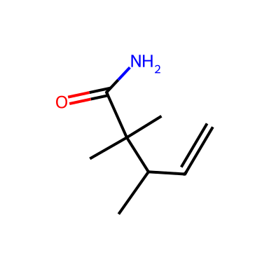 C=CC(C)C(C)(C)C(N)=O